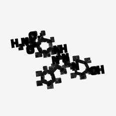 Cc1cc(Nc2nc(-c3ccccc3)cc(N3CCC(O)CC3)n2)ccc1S(N)(=O)=O